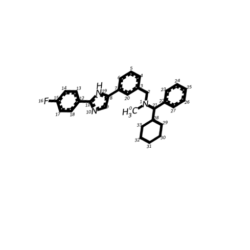 CN(Cc1cccc(-c2cnc(-c3ccc(F)cc3)[nH]2)c1)C(c1ccccc1)C1CCCCC1